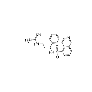 N=C(N)NCCC(NS(=O)(=O)c1cccc2cnccc12)c1ccccc1